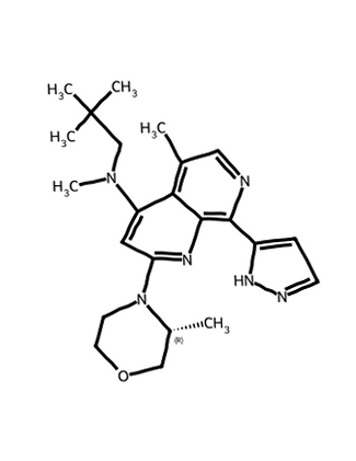 Cc1cnc(-c2ccn[nH]2)c2nc(N3CCOC[C@H]3C)cc(N(C)CC(C)(C)C)c12